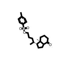 Cc1ccc(S(=O)(=O)OCCCC(C)[C@H]2CCC3C(=O)CCC[C@@]32C)cc1